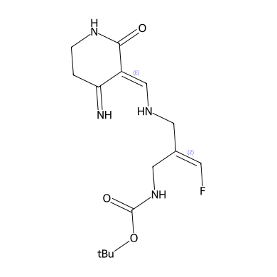 CC(C)(C)OC(=O)NC/C(=C\F)CN/C=C1\C(=N)CCNC1=O